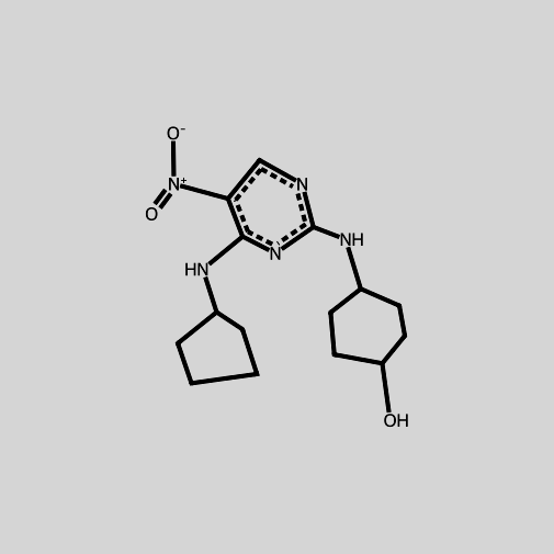 O=[N+]([O-])c1cnc(NC2CCC(O)CC2)nc1NC1CCCC1